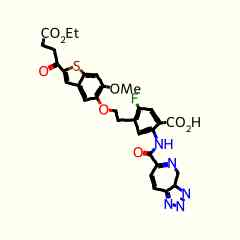 CCOC(=O)CCC(=O)c1cc2cc(OCCc3cc(NC(=O)C4=NCC5N=NN=C5C=C4)c(C(=O)O)cc3F)c(OC)cc2s1